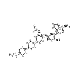 CCN1CCN(C2CCN(c3ccc(Nc4ncc(Cl)c(Nc5ccsc5C(N)=O)n4)c(OC(F)F)c3)CC2)CC1